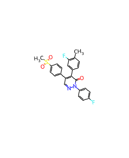 Cc1ccc(-c2c(-c3ccc(S(C)(=O)=O)cc3)cnn(-c3ccc(F)cc3)c2=O)cc1F